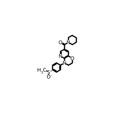 C[S+]([O-])c1ccc(N2CCOc3cc(C(=O)N4CCCCC4)cnc32)cc1